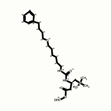 C[N+](C)(C)C[C@@H](CC(=O)OC=O)NC(=O)NCCCCCCOCCCCc1ccccc1